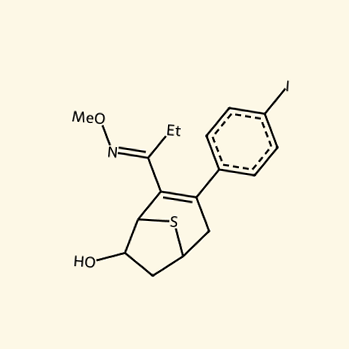 CCC(=NOC)C1=C(c2ccc(I)cc2)CC2CC(O)C1S2